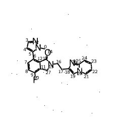 Cn1nccc1-c1ccc(F)c2c1C(=O)N(CCc1cn3ccccc3n1)C2